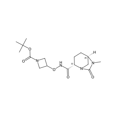 CN1C(=O)N2C[C@H]1CC[C@H]2C(=O)NOC1CN(C(=O)OC(C)(C)C)C1